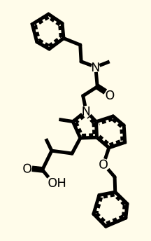 Cc1c(CC(C)C(=O)O)c2c(OCc3ccccc3)cccc2n1CC(=O)N(C)CCc1ccccc1